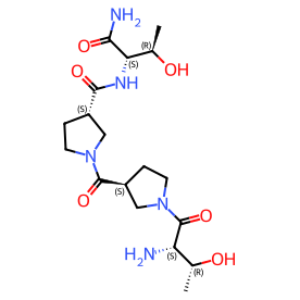 C[C@@H](O)[C@H](N)C(=O)N1CC[C@H](C(=O)N2CC[C@H](C(=O)N[C@H](C(N)=O)[C@@H](C)O)C2)C1